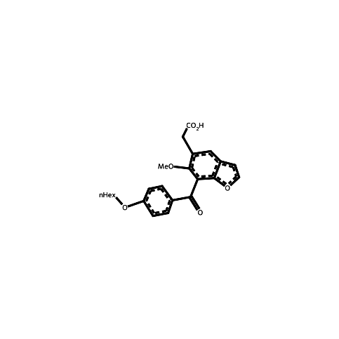 CCCCCCOc1ccc(C(=O)c2c(OC)c(CC(=O)O)cc3ccoc23)cc1